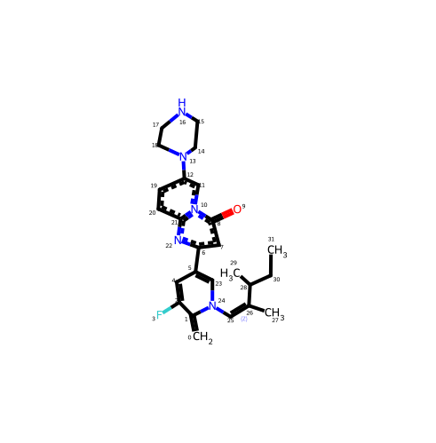 C=C1C(F)=CC(c2cc(=O)n3cc(N4CCNCC4)ccc3n2)=CN1/C=C(/C)C(C)CC